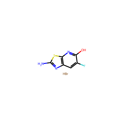 Br.Nc1nc2cc(F)c(O)nc2s1